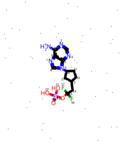 Nc1ncnc2c1ncn2C1CCC(CC(F)(F)OP(=O)(O)O)C1